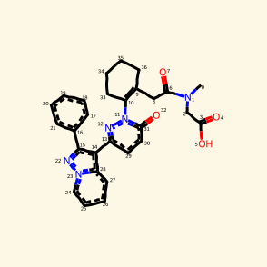 CN(CC(=O)O)C(=O)CC1=C(n2nc(-c3c(-c4ccccc4)nn4ccccc34)ccc2=O)CCCC1